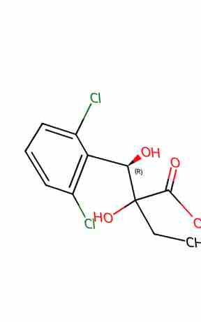 CCC(O)(C(=O)O)[C@H](O)c1c(Cl)cccc1Cl